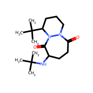 CC(C)(C)NC1CCC(=O)N2CCCC(C(C)(C)C)N2C1=O